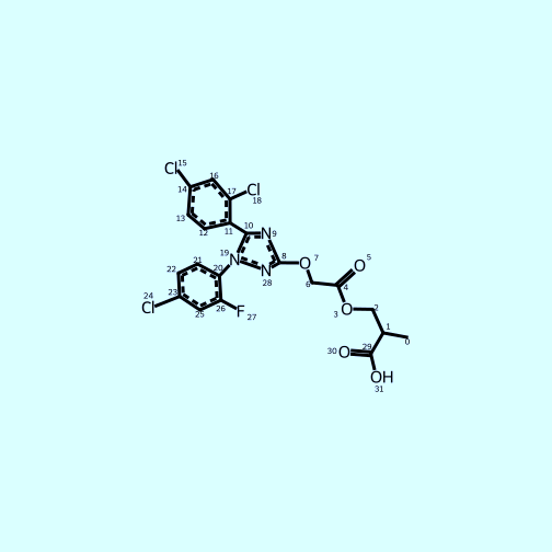 CC(COC(=O)COc1nc(-c2ccc(Cl)cc2Cl)n(-c2ccc(Cl)cc2F)n1)C(=O)O